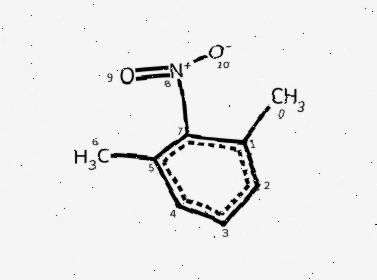 Cc1[c]ccc(C)c1[N+](=O)[O-]